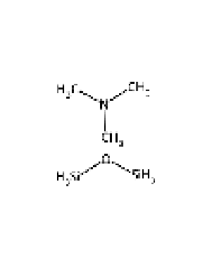 CN(C)C.[SiH3]O[SiH3]